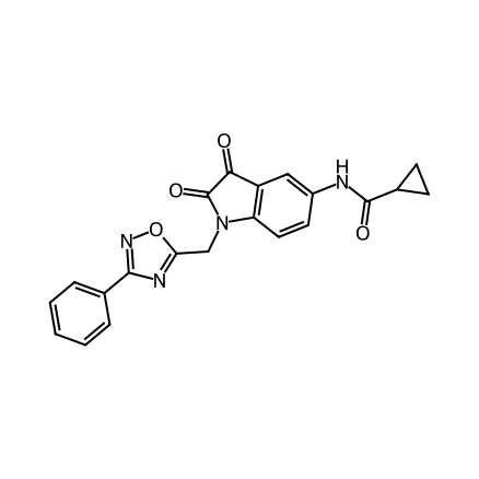 O=C1C(=O)N(Cc2nc(-c3ccccc3)no2)c2ccc(NC(=O)C3CC3)cc21